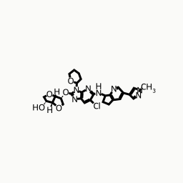 Cn1cc(-c2cnc3c(c2)CCC3Nc2nc3c(cc2Cl)nc(O[C@@H]2CO[C@H]4[C@@H]2OC[C@H]4O)n3C2CCCCO2)cn1